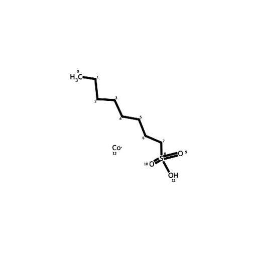 CCCCCCCCS(=O)(=O)O.[Co]